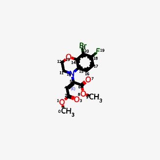 COC(=O)/C=C(\C(=O)OC)N1CCOc2c1ccc(F)c2Br